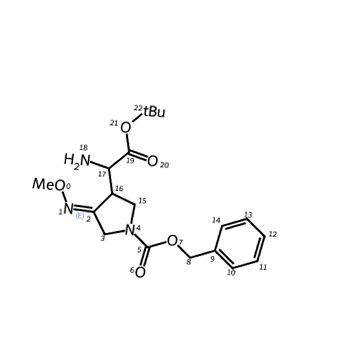 CO/N=C1/CN(C(=O)OCc2ccccc2)CC1C(N)C(=O)OC(C)(C)C